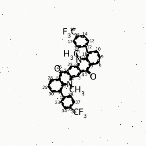 Cn1c2cc3c(=O)c4cccc(-c5ccc(C(F)(F)F)cc5)c4n(C)c3cc2c(=O)c2cccc(-c3ccc(C(F)(F)F)cc3)c21